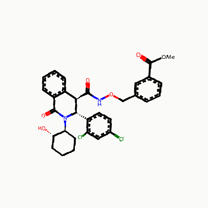 COC(=O)c1cccc(CONC(=O)[C@@H]2c3ccccc3C(=O)N([C@H]3CCCC[C@@H]3O)[C@H]2c2ccc(Cl)cc2Cl)c1